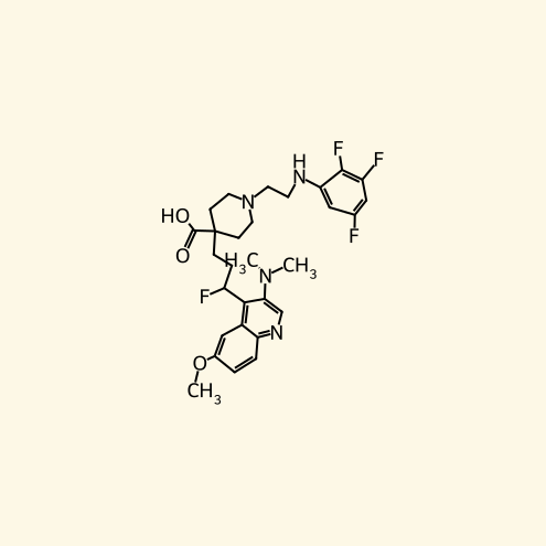 COc1ccc2ncc(N(C)C)c(C(F)CCC3(C(=O)O)CCN(CCNc4cc(F)cc(F)c4F)CC3)c2c1